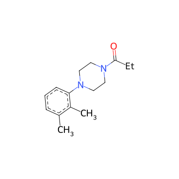 CCC(=O)N1CCN(c2cccc(C)c2C)CC1